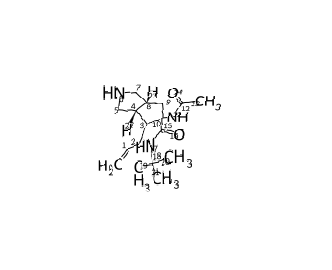 C=CCC1[C@@H]2CNC[C@@H]2CC1(NC(C)=O)C(=O)NC(C)(C)C